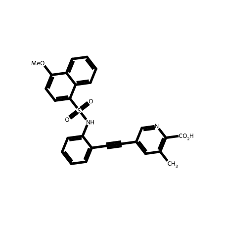 COc1ccc(S(=O)(=O)Nc2ccccc2C#Cc2cnc(C(=O)O)c(C)c2)c2ccccc12